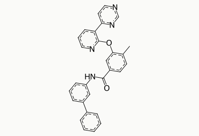 Cc1ccc(C(=O)Nc2cccc(-c3ccccc3)c2)cc1Oc1ncccc1-c1ccncn1